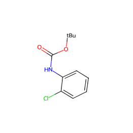 CC(C)(C)OC(=O)Nc1ccccc1Cl